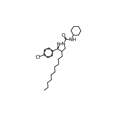 CCCCCCCCCCC1CN(C(=O)NC2CCCCC2)N=C1c1ccc(Cl)cc1